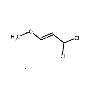 COC=CC(Cl)Cl